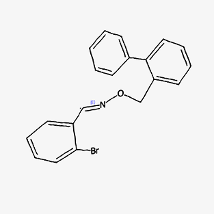 Brc1ccccc1/[C]=N/OCc1ccccc1-c1ccccc1